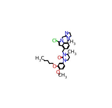 CCCCCOc1cc(N2CCC(C)N(Cc3cccc4c3cc(Cl)n4CC3=NCCN3C)C2=O)ccc1OC